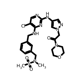 CN(Cc1cccc(CNc2nc(Nc3cnn(CC(=O)N4CCOCC4)c3)ncc2Cl)c1)S(C)(=O)=O